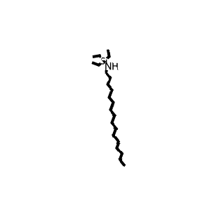 CCCCCCCCCCCCCCCCN[Si](CC)(CC)CC